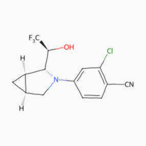 N#Cc1ccc(N2C[C@H]3C[C@H]3[C@@H]2[C@H](O)C(F)(F)F)cc1Cl